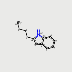 CC(C)CCCc1cc2ccccc2[nH]1